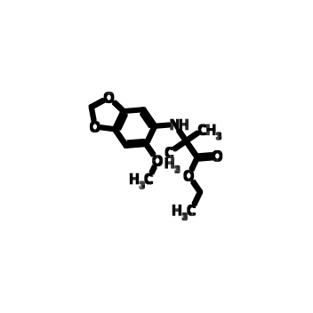 CCOC(=O)C(C)(C)Nc1cc2c(cc1OC)OCO2